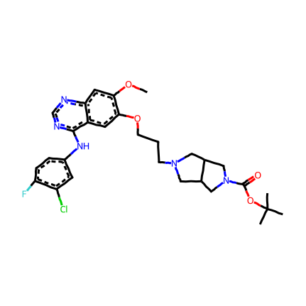 COc1cc2ncnc(Nc3ccc(F)c(Cl)c3)c2cc1OCCCN1CC2CN(C(=O)OC(C)(C)C)CC2C1